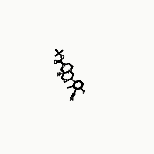 Cc1c([C@H]2CN3CCN(C(=O)OC(C)(C)C)C[C@@H]3CO2)ccc(F)c1C#N